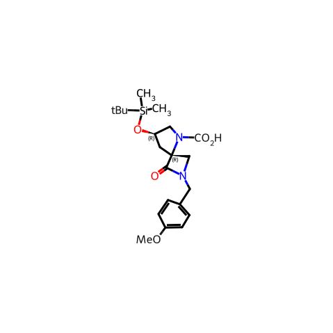 COc1ccc(CN2C[C@]3(C[C@@H](O[Si](C)(C)C(C)(C)C)CN3C(=O)O)C2=O)cc1